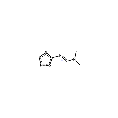 CN(C)/C=N/c1n[c]no1